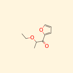 CCOC(C)C(=O)c1ccco1